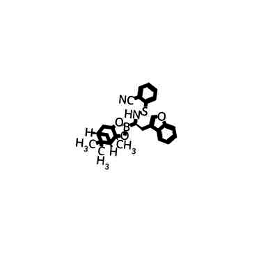 CC1(C)[C@@H]2CC3OB([C@H](Cc4coc5ccccc45)NSc4ccccc4C#N)O[C@@]3(C)[C@H]1C2